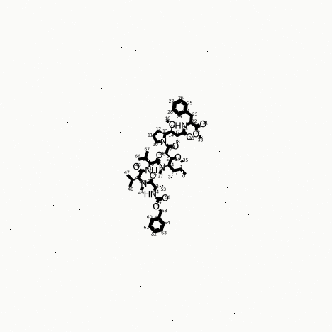 CC[C@H](C)[C@@H]([C@@H](CC(=O)N1CCC[C@H]1[C@H](OC)[C@@H](C)C(=O)NC(Cc1ccccc1)C(=O)OC)OC)N(C)C(=O)[C@@H](NC(=O)[C@H](C(C)C)N(C)C(=O)[C@H](C)NC(=O)OCc1ccccc1)C(C)C